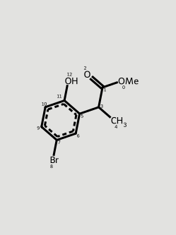 COC(=O)C(C)c1cc(Br)ccc1O